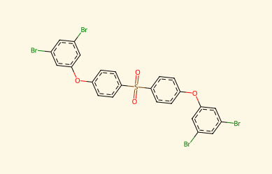 O=S(=O)(c1ccc(Oc2cc(Br)cc(Br)c2)cc1)c1ccc(Oc2cc(Br)cc(Br)c2)cc1